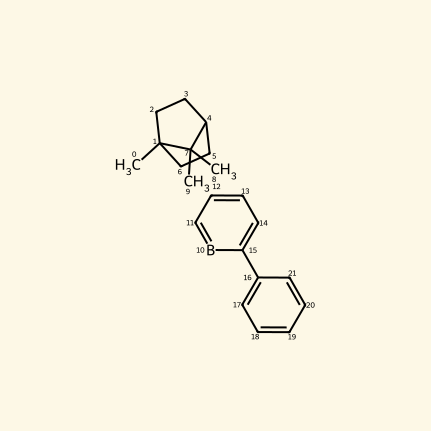 CC12CCC(CC1)C2(C)C.b1ccccc1-c1ccccc1